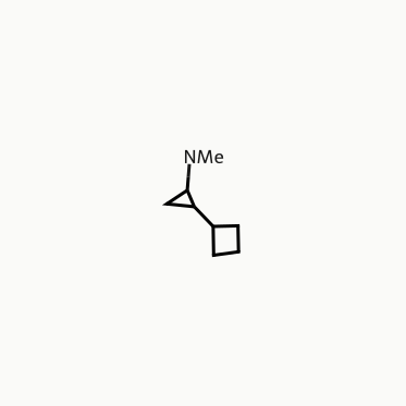 CNC1CC1C1CCC1